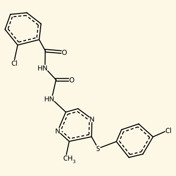 Cc1nc(NC(=O)NC(=O)c2ccccc2Cl)cnc1Sc1ccc(Cl)cc1